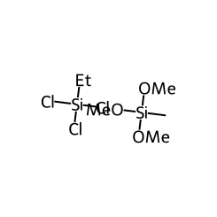 CC[Si](Cl)(Cl)Cl.CO[Si](C)(OC)OC